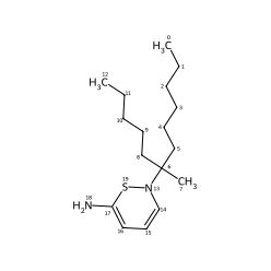 CCCCCCC(C)(CCCCC)N1C=CC=C(N)S1